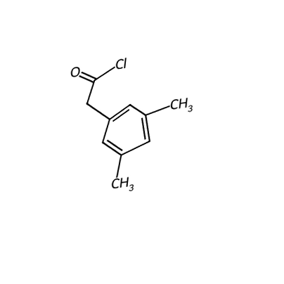 Cc1cc(C)cc(CC(=O)Cl)c1